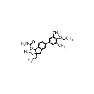 CCOc1c(C)cc(-c2ccc3c(c2)CC(CC)(CC)C3OC(N)=O)cc1C